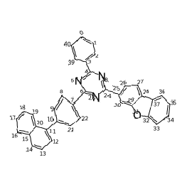 c1ccc(-c2nc(-c3ccc(-c4cccc5ccccc45)cc3)nc(-c3ccc4c(c3)oc3ccccc34)n2)cc1